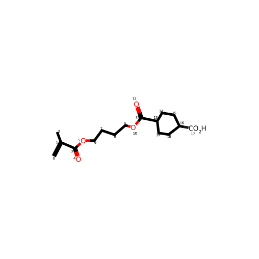 C=C(C)C(=O)OCCCCOC(=O)C1CCC(C(=O)O)CC1